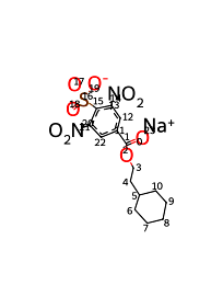 O=C(OCCC1CCCCC1)c1cc([N+](=O)[O-])c(S(=O)(=O)[O-])c([N+](=O)[O-])c1.[Na+]